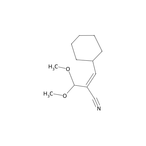 COC(OC)C(C#N)=CC1CCCCC1